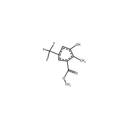 COC(=O)c1cc(C(F)(F)F)cc(O)c1C